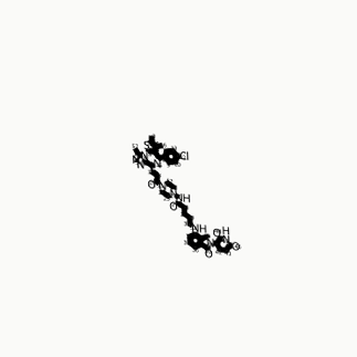 Cc1sc2c(c1C)C(c1ccc(Cl)cc1)=N[C@@H](/C=C/C(=O)N1CCN(NC(=O)CCCCNc3cccc4c3CN(C3CCC(=O)NC3=O)C4=O)CC1)c1nnc(C)n1-2